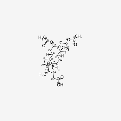 CC(=O)O[C@@H]1CC[C@@]2(C)C(C1)[C@@H](OC(C)=O)C[C@H]1[C@@H]3CC[C@H]([C@H](C)CCC(=O)O)[C@@]3(C)CC[C@@H]12